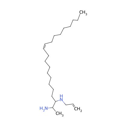 C=CCNC(CCCCCCCC/C=C\CCCCCCCC)C(C)N